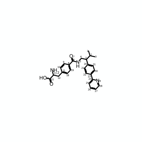 CC(C)C(CNC(=O)c1ccc(CC(N)C(=O)O)cc1)c1ccc(-c2ccccn2)cc1